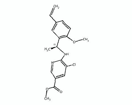 C=Cc1ccc(OC)c([C@H](C)Nc2ncc(C(=O)OC)cc2Cl)c1